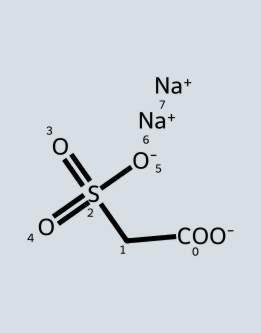 O=C([O-])CS(=O)(=O)[O-].[Na+].[Na+]